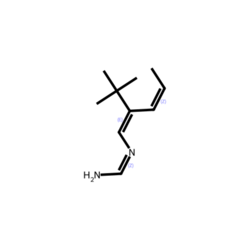 C\C=C/C(=C\N=C/N)C(C)(C)C